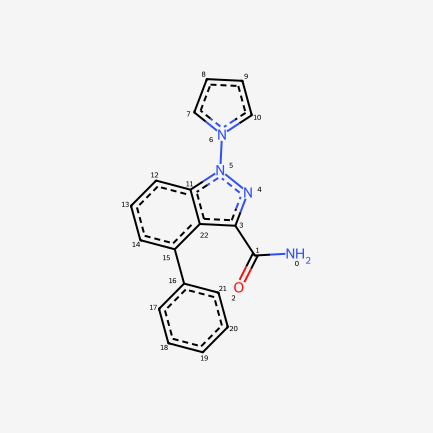 NC(=O)c1nn(-n2cccc2)c2cccc(-c3ccccc3)c12